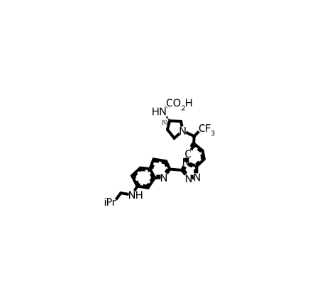 CC(C)CNc1ccc2ccc(-c3nnc4ccc(C(N5CC[C@H](NC(=O)O)C5)C(F)(F)F)cn34)nc2c1